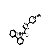 CCCCN1CCC(c2nc(C(=O)Nc3ccccc3-c3ccccc3)cs2)CC1